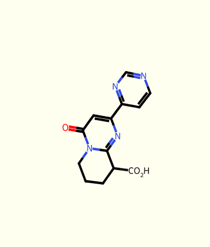 O=C(O)C1CCCn2c1nc(-c1ccncn1)cc2=O